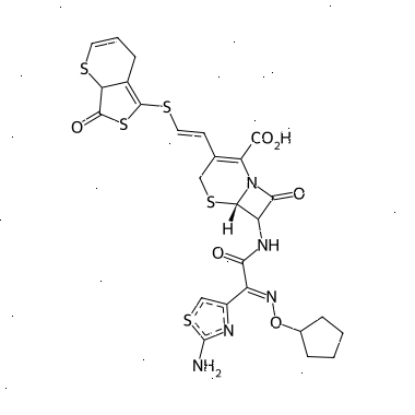 Nc1nc(C(=NOC2CCCC2)C(=O)NC2C(=O)N3C(C(=O)O)=C(C=CSC4=C5CC=CSC5C(=O)S4)CS[C@@H]23)cs1